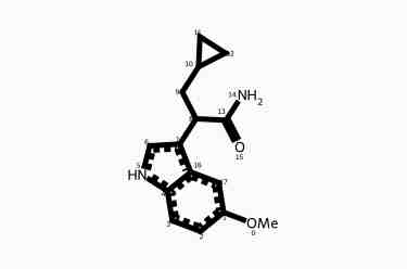 COc1ccc2[nH]cc(C(CC3CC3)C(N)=O)c2c1